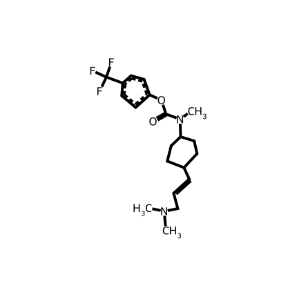 CN(C)CC=CC1CCC(N(C)C(=O)Oc2ccc(C(F)(F)F)cc2)CC1